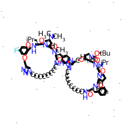 CC(C)C[C@H]1NC(=O)c2ccc(F)cc2OCc2cn(nn2)CCCCCCCCNC(=O)[C@H](Cc2ccc(-c3c4nnn3CCCCCCCCNC(=O)[C@H](Cc3ccccc3)N(C)C(=O)[C@H]3CCCN3C(=O)[C@@H](CC(C)C)NC(=O)[C@@H]3[C@@H](CCN3C(=O)OC(C)(C)C)OC4)cc2)N(C)C(=O)[C@H]2CC(N(C)C)CN2C1=O